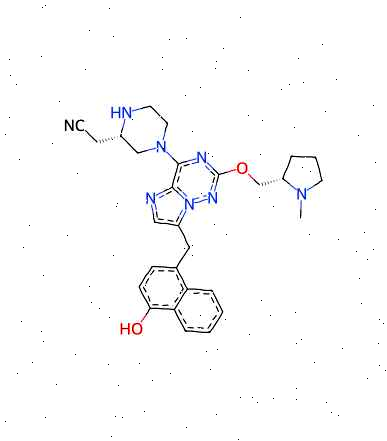 CN1CCC[C@H]1COc1nc(N2CCN[C@@H](CC#N)C2)c2ncc(Cc3ccc(O)c4ccccc34)n2n1